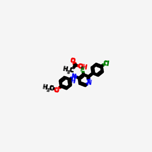 CC(=O)O.COc1ccc(Nc2ccnc(-c3ccc(Cl)cc3)c2F)cc1